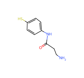 NCCC(=O)Nc1ccc(S)cc1